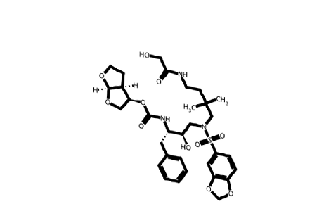 CC(C)(CCNC(=O)CO)CN(C[C@@H](O)[C@H](Cc1ccccc1)NC(=O)O[C@H]1CO[C@H]2OCC[C@H]21)S(=O)(=O)c1ccc2c(c1)OCO2